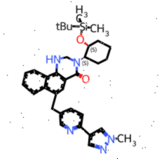 Cn1cc(-c2ccc(Cc3cc4c(c5ccccc35)NCN([C@H]3CCCC[C@@H]3O[Si](C)(C)C(C)(C)C)C4=O)cn2)cn1